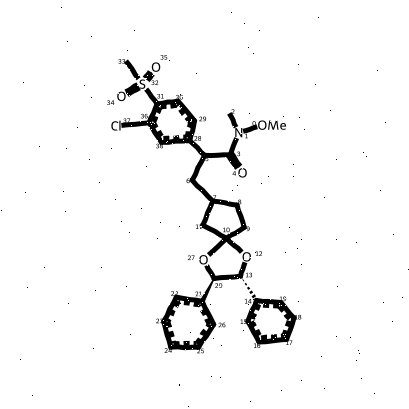 CON(C)C(=O)C(CC1CCC2(C1)O[C@H](c1ccccc1)[C@@H](c1ccccc1)O2)c1ccc(S(C)(=O)=O)c(Cl)c1